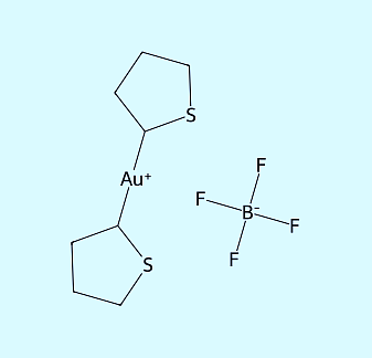 C1CS[CH]([Au+][CH]2CCCS2)C1.F[B-](F)(F)F